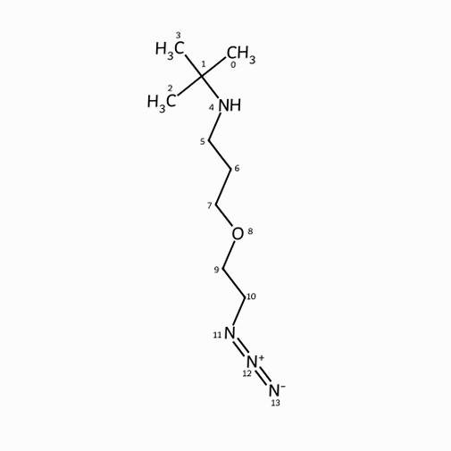 CC(C)(C)NCCCOCCN=[N+]=[N-]